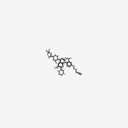 CC(C)c1cc(OCCN=[N+]=[N-])ccc1-n1c(=O)nc(N2CCN(C(=O)OC(C)(C)C)CC2C)c2cc(Cl)c(N3CCCCC3)nc21